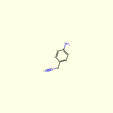 N#[N+]Cc1ccc(N)cc1